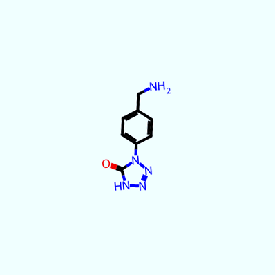 NCc1ccc(-n2nn[nH]c2=O)cc1